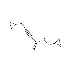 O=C(C#CCC1CO1)NCC1CO1